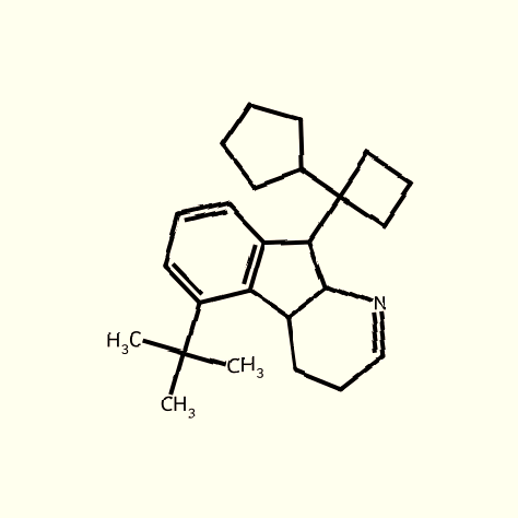 CC(C)(C)c1cccc2c1C1CCC=NC1C2C1(C2CCCC2)CCC1